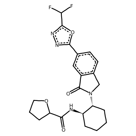 O=C(N[C@@H]1CCCC[C@H]1N1Cc2ccc(-c3nnc(C(F)F)o3)cc2C1=O)C1CCCO1